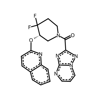 O=C(c1nc2ncccn2n1)N1CCC(F)(F)[C@@H](Oc2ccc3ccccc3n2)C1